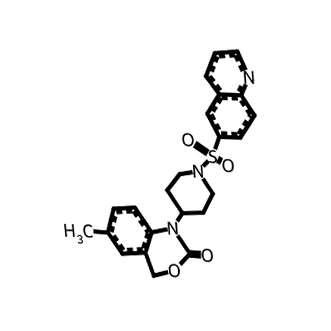 Cc1ccc2c(c1)COC(=O)N2C1CCN(S(=O)(=O)c2ccc3ncccc3c2)CC1